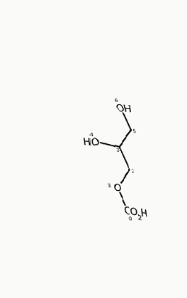 O=C(O)OCC(O)CO